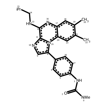 CNC(=O)Nc1ccc(-c2cnc3c(NCC(C)C)nc4cc(C)c(C)cc4n23)cc1